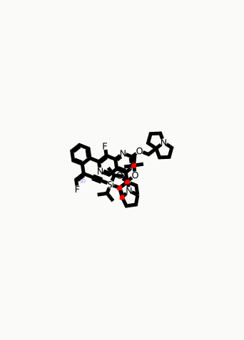 CC(C)[Si](C#C/C(=C\F)c1ccccc1-c1ncc2c(N3CC4CCC(C3)N4C(=O)OC(C)(C)C)nc(OCC34CCCN3CCC4)nc2c1F)(C(C)C)C(C)C